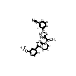 COc1cc(-c2nnc3n2CCCN3C(C)c2nnn(-c3cccc(C#N)c3)n2)ccn1